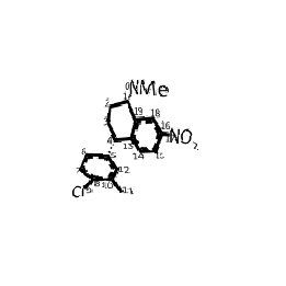 CN[C@H]1CC[C@@H](c2ccc(Cl)c(C)c2)c2ccc([N+](=O)[O-])cc21